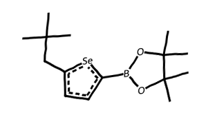 CC(C)(C)Cc1ccc(B2OC(C)(C)C(C)(C)O2)[se]1